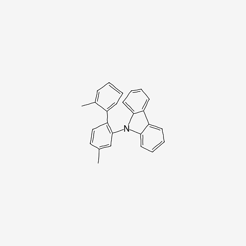 Cc1ccc(-c2ccccc2C)c(-n2c3ccccc3c3ccccc32)c1